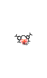 CC(C)c1cc2c(c(C(C)C)c1)OP(=O)([O-])Oc1c(cc(C(C)C)cc1C(C)C)CC2.[Na+]